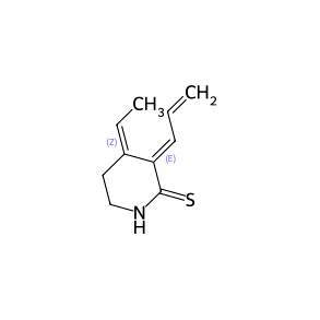 C=C/C=C1/C(=S)NCC/C1=C/C